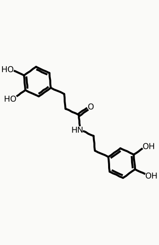 O=C(CCc1ccc(O)c(O)c1)NCCc1ccc(O)c(O)c1